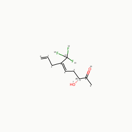 C=CCC(=CC[C@@H](O)C(C)=O)C(F)(F)F